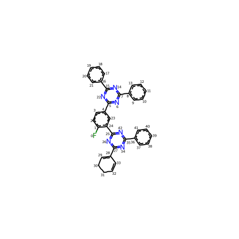 Fc1ccc(-c2nc(-c3ccccc3)nc(-c3ccccc3)n2)cc1-c1nc(C2=CCCC=C2)nc(-c2ccccc2)n1